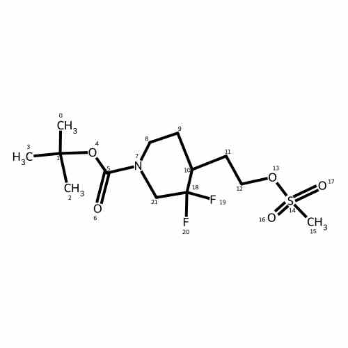 CC(C)(C)OC(=O)N1CCC(CCOS(C)(=O)=O)C(F)(F)C1